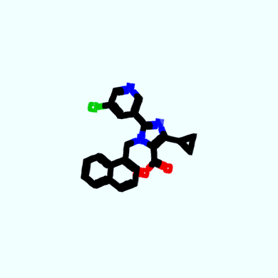 O=C(O)c1c(C2CC2)nc(-c2cncc(Cl)c2)n1Cc1cccc2ccccc12